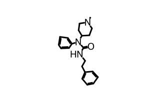 CN1CCC(N(C(=O)NCCc2ccccc2)c2ccccc2)CC1